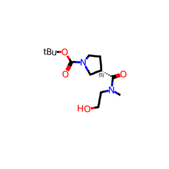 CN(CCO)C(=O)[C@H]1CCN(C(=O)OC(C)(C)C)C1